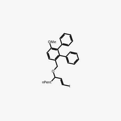 CCCCCC(C=CI)OCc1ccc(OC)c(-c2ccccc2)c1-c1ccccc1